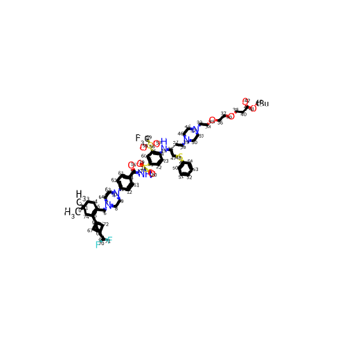 CC1(C)CCC(CN2CCN(c3ccc(C(=O)NS(=O)(=O)c4ccc(N[C@H](CCN5CCN(CCOCCOCCC(=O)OC(C)(C)C)CC5)CSc5ccccc5)c(S(=O)(=O)C(F)(F)F)c4)cc3)CC2)=C(C23CC(C(F)F)(C2)C3)C1